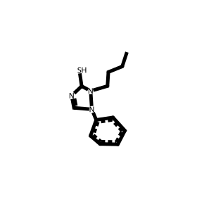 CCCCN1C(S)N=CN1c1ccccc1